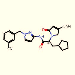 COC1=CC(=O)N([C@@H](CC2CCCC2)C(=O)Nc2ccn(Cc3cccc(C#N)c3)n2)C1